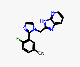 N#Cc1ccc(F)c(-c2nccn2Cc2nc3cccnc3[nH]2)c1